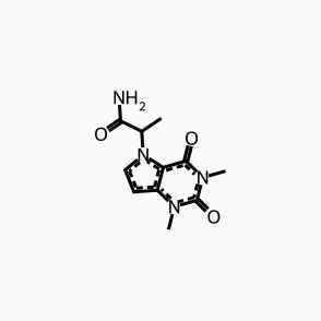 CC(C(N)=O)n1ccc2c1c(=O)n(C)c(=O)n2C